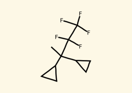 CC(C1CC1)(C1CC1)C(F)(F)C(F)(F)F